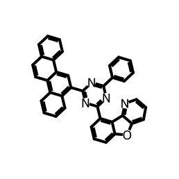 c1ccc(-c2nc(-c3cc4c5ccccc5ccc4c4ccccc34)nc(-c3cccc4oc5cccnc5c34)n2)cc1